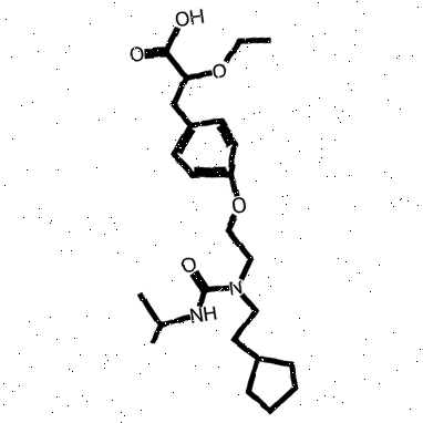 CCOC(Cc1ccc(OCCN(CCC2CCCC2)C(=O)NC(C)C)cc1)C(=O)O